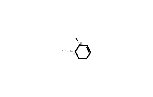 C[C@@H]1C=CCC[C@@H]1C=O